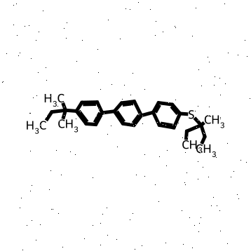 CCC(C)(CC)Sc1ccc(-c2ccc(-c3ccc(C(C)(C)CC)cc3)cc2)cc1